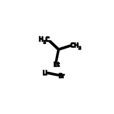 CCC(C)C.[Li][Br]